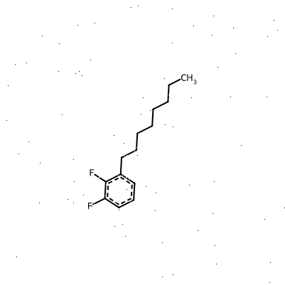 CCCCCCCCc1cc[c]c(F)c1F